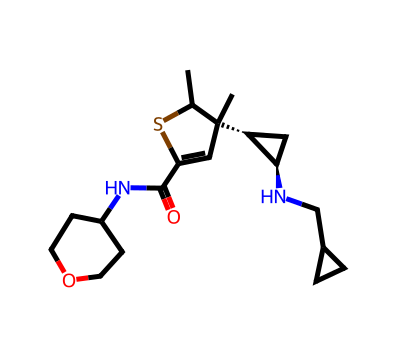 CC1SC(C(=O)NC2CCOCC2)=CC1(C)[C@@H]1C[C@H]1NCC1CC1